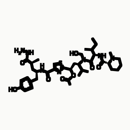 CCC(C)[C@H](NC(=O)[C@H]1CCCCN1C)C(=O)N(CO)[C@H](C[C@@H](OC(C)=O)c1nc(C(=O)N[C@@H](Cc2ccc(O)cc2)C[C@H](C)C(=O)NN)cs1)C(C)C